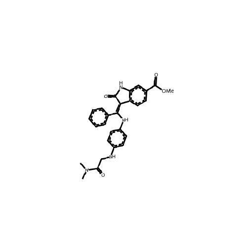 COC(=O)c1ccc2c(c1)NC(=O)C2=C(Nc1ccc(NCC(=O)N(C)C)cc1)c1ccccc1